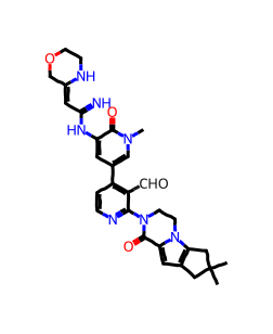 Cn1cc(-c2ccnc(N3CCn4c(cc5c4CC(C)(C)C5)C3=O)c2C=O)cc(NC(=N)/C=C2/COCCN2)c1=O